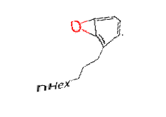 CCCCCCCCCc1[c]ccc2c1O2